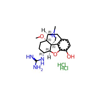 CO[C@@]12CC[C@@H](NC(=N)N)[C@@H]3Oc4c(O)ccc5c4[C@@]31CCN(C)[C@@H]2C5.Cl.Cl